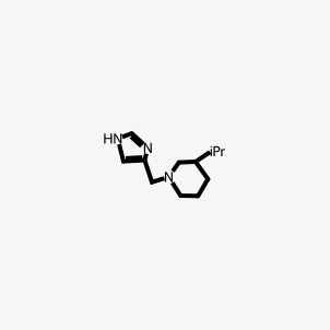 CC(C)C1CCCN(Cc2c[nH]cn2)C1